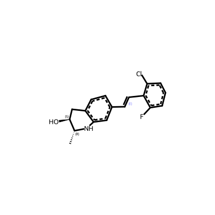 C[C@H]1Nc2cc(/C=C/c3c(F)cccc3Cl)ccc2C[C@@H]1O